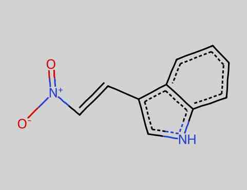 O=[N+]([O-])/C=C/c1c[nH]c2ccccc12